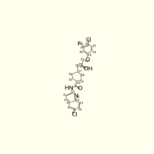 O=C(Nc1ccc2cc(Cl)ccc2n1)C1CCC(C[C@@H](O)COc2ccc(Cl)c(F)c2)CC1